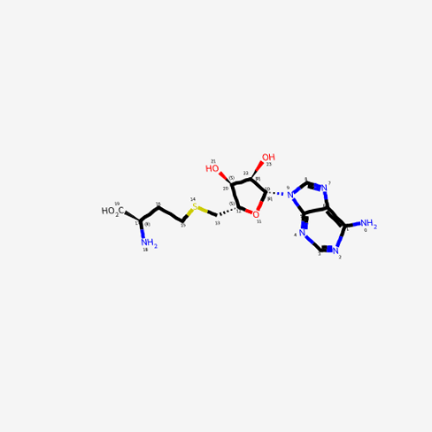 Nc1ncnc2c1ncn2[C@@H]1O[C@H](CSCC[C@@H](N)C(=O)O)[C@@H](O)[C@H]1O